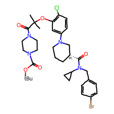 CC(C)(C)OC(=O)N1CCN(C(=O)C(C)(C)Oc2cc(N3CCC[C@@H](C(=O)N(Cc4ccc(Br)cc4)C4CC4)C3)ccc2Cl)CC1